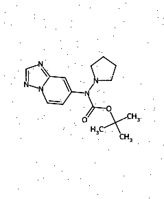 CC(C)(C)OC(=O)N(c1ccn2ncnc2c1)N1CCCC1